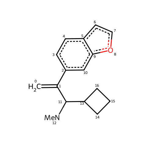 C=C(c1ccc2ccoc2c1)C(NC)C1CCC1